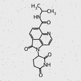 CC(C)NC(=O)c1ccc2c3c(ccnc13)N(C1CCC(=O)NC1=O)C2=O